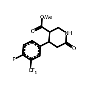 COC(=O)C1CNC(=O)CC1c1ccc(F)c(C(F)(F)F)c1